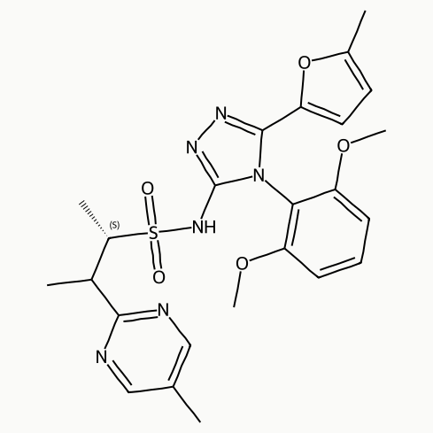 COc1cccc(OC)c1-n1c(NS(=O)(=O)[C@@H](C)C(C)c2ncc(C)cn2)nnc1-c1ccc(C)o1